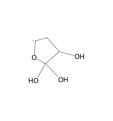 OC1C[CH]OC1(O)O